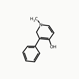 CN1C=CC(O)=C(c2ccccc2)C1